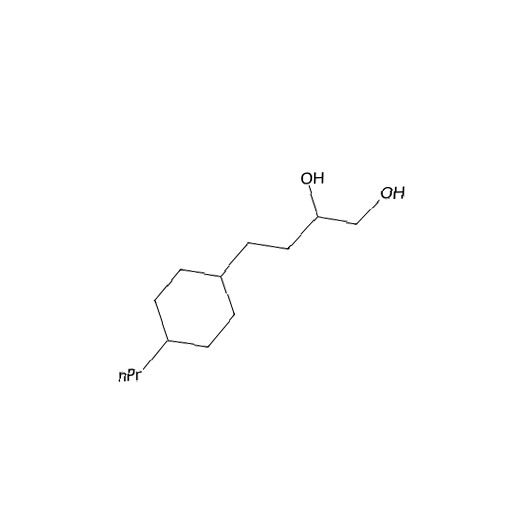 CCCC1CCC(CCC(O)CO)CC1